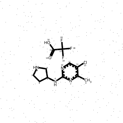 Cc1nc(NC2CCNC2)ncc1Cl.O=C(O)C(F)(F)F